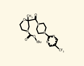 CC(C)(C)OC(=O)N1CCOC(C)(C(=O)N2CCN(c3ncc(C(F)(F)F)cn3)CC2)C1